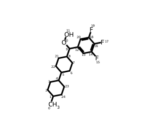 CC1CCC(C2CCC(C(OO)c3cc(F)c(F)c(F)c3)CC2)CC1